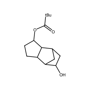 CC(C)(C)C(=O)OC1CCC2C3CC(CC3O)C12